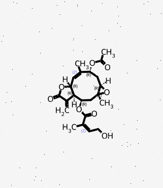 C=C1C(=O)O[C@@H]2/C=C(/C)[C@H](OC(C)=O)C[C@H]3O[C@]3(C)C[C@@H](OC(=O)/C(C)=C\CO)[C@@H]12